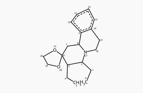 CCC1C(CC)C2(CC3c4ccccc4CCN31)OCCO2